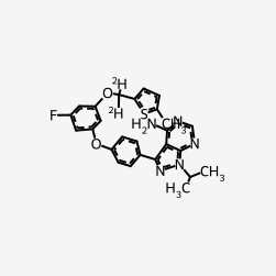 [2H]C([2H])(Oc1cc(F)cc(Oc2ccc(-c3nn(C(C)C)c4ncnc(N)c34)cc2)c1)c1ccc(C)s1